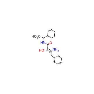 N[C@H](Cc1ccccc1)[C@H](O)C(=O)NC(C(=O)O)c1ccccc1